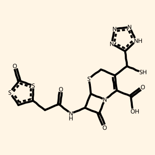 O=C(Cc1csc(=O)s1)NC1C(=O)N2C(C(=O)O)=C(C(S)c3nnn[nH]3)CSC12